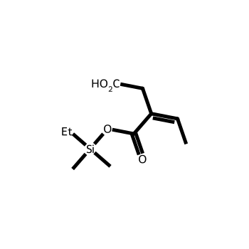 CC=C(CC(=O)O)C(=O)O[Si](C)(C)CC